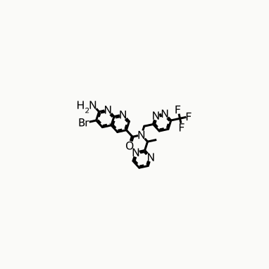 CC(c1ncccn1)N(Cc1ccc(C(F)(F)F)nn1)C(=O)c1cnc2nc(N)c(Br)cc2c1